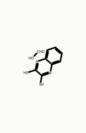 O=CO.Sc1nc2ccccc2nc1S